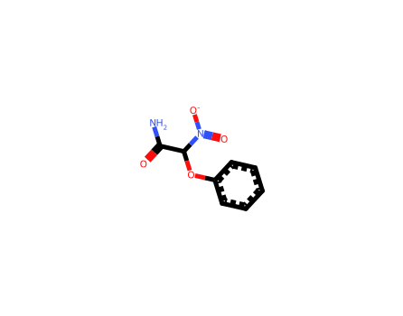 NC(=O)C(Oc1ccccc1)[N+](=O)[O-]